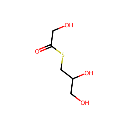 O=C(CO)SCC(O)CO